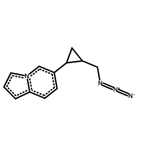 [N-]=[N+]=NCC1CC1c1ccc2cccn2c1